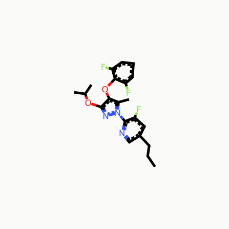 CCCc1cnc(-n2nc(OC(C)C)c(Oc3c(F)cccc3F)c2C)c(F)c1